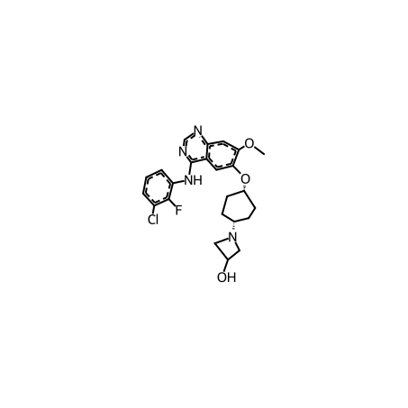 COc1cc2ncnc(Nc3cccc(Cl)c3F)c2cc1O[C@H]1CC[C@@H](N2CC(O)C2)CC1